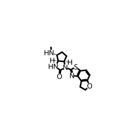 CN[C@@H]1CC[C@@H]2[C@H]1NC(=O)N2c1nc2c3c(ccc2s1)OCC3